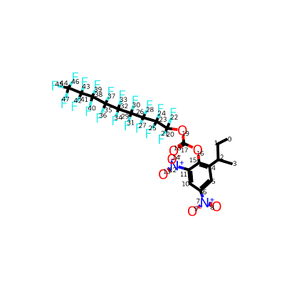 CCC(C)c1cc([N+](=O)[O-])cc([N+](=O)[O-])c1OC(=O)OC(F)(F)C(F)(F)C(F)(F)C(F)(F)C(F)(F)C(F)(F)C(F)(F)C(F)(F)C(F)(F)F